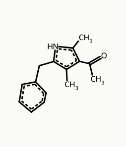 CC(=O)c1c(C)[nH]c(Cc2ccccc2)c1C